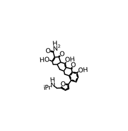 CC(C)NCc1ccc(-c2ccc(O)c3c2CC2CC4CC(O)=C(C(N)=O)C(=O)C4C(O)=C2C3=O)o1